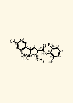 COc1cc(Cl)ncc1C1=CC(C(=O)Nc2c(F)cccc2F)N(C)N1C